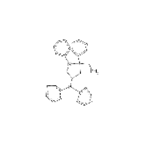 PCC1(c2ccccc2)CC(P(c2ccccc2)c2ccccc2)CN1c1ccccc1